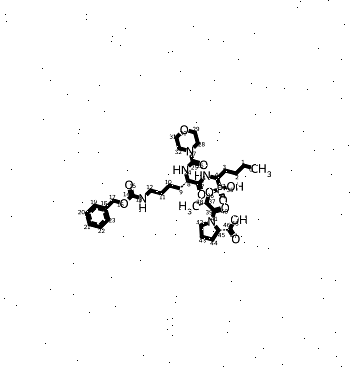 CCCCC(NC(=O)[C@H](CCCCNC(=O)OCc1ccccc1)NC(=O)N1CCOCC1)P(=O)(O)O[C@@H](C)C(=O)N1CCC[C@H]1C(=O)O